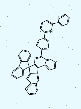 c1ccc(-c2cccc(-c3ccc(-c4cc5c(c6ccccc46)-c4cc6ccccc6cc4C54c5ccccc5-c5ccccc54)cc3)n2)nc1